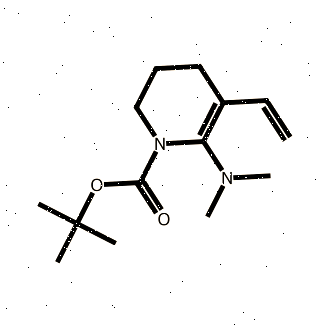 C=CC1=C(N(C)C)N(C(=O)OC(C)(C)C)CCC1